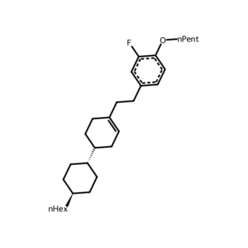 CCCCCC[C@H]1CC[C@H](C2CC=C(CCc3ccc(OCCCCC)c(F)c3)CC2)CC1